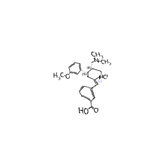 COc1cccc([C@H]2C/C(=C\c3cccc(C(=O)O)c3)CC[C@H]2CN(C)C)c1.Cl